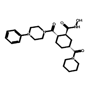 O=C(NO)[C@H]1C[C@H](C(=O)N2CCCCC2)CC[C@@H]1C(=O)N1CCN(c2ccccc2)CC1